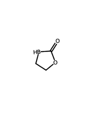 O=C1BCCO1